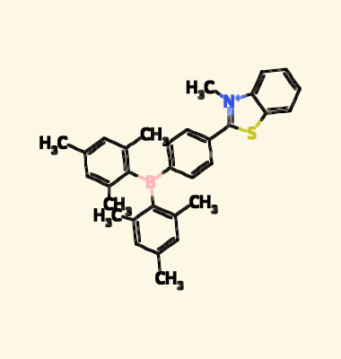 Cc1cc(C)c(B(c2ccc(-c3sc4ccccc4[n+]3C)cc2)c2c(C)cc(C)cc2C)c(C)c1